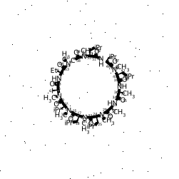 CC[C@@H]1NC(=O)[C@H](I)N(C)C(=O)[C@H](C(C)C)N(C)C(=O)[C@H](CC(C)C)N(C)C(=O)[C@H](CC(C)C)N(C)C(=O)[C@@H](C)NC(=O)[C@H](C)NC(=O)[C@H](CC(C)C)N(C)C(=O)[C@H](C(C)C)NC(=O)[C@H](CC(C)C)N(C)C(=O)CN(C)C1=O